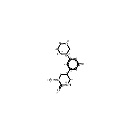 CN1CC(c2cc(Cl)cc([C@@H]3COCCN3)c2)CNC1=O